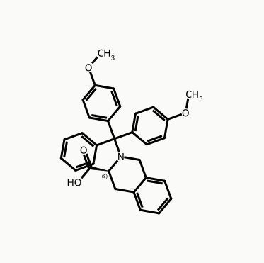 COc1ccc(C(c2ccccc2)(c2ccc(OC)cc2)N2Cc3ccccc3C[C@H]2C(=O)O)cc1